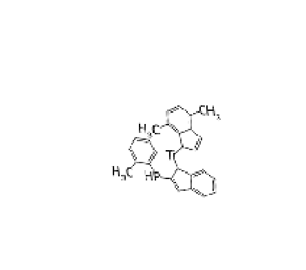 Cc1ccccc1PC1=Cc2ccccc2[CH]1[Ti][CH]1C=Cc2c(C)ccc(C)c21